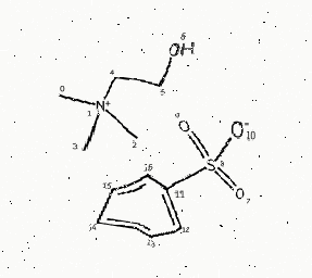 C[N+](C)(C)CCO.O=S(=O)([O-])c1ccccc1